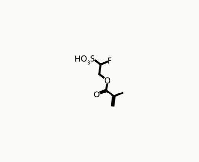 C=C(C)C(=O)OCC(F)S(=O)(=O)O